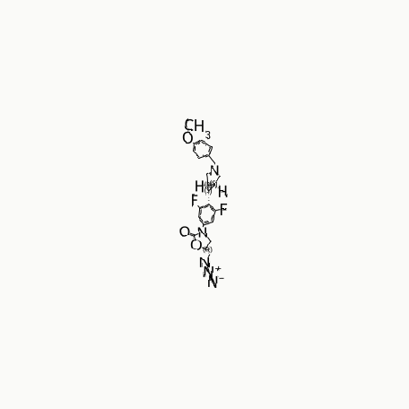 COc1ccc(CN2C[C@@H]3[C@H](C2)[C@H]3c2c(F)cc(N3C[C@H](CN=[N+]=[N-])OC3=O)cc2F)cc1